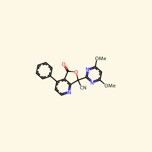 COc1cc(OC)nc(C2(C#N)OC(=O)c3c(-c4ccccc4)ccnc32)n1